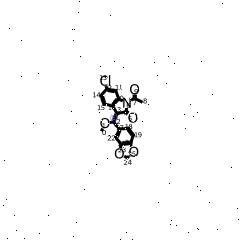 CO/C(=C1/C(=O)N(C(C)=O)c2cc(Cl)ccc21)c1ccc2c(c1)OCO2